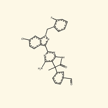 CC1(c2cccc(C=O)c2)C(=O)Nc2nc(-c3nn(Cc4ccccc4F)c4cc(Cl)ccc34)nc(N)c21